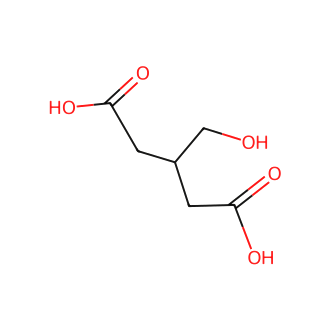 O=C(O)CC(CO)CC(=O)O